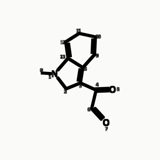 CN1CC(C(=O)C=O)=C2C=CCC=C21